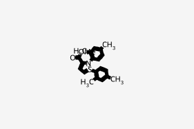 COC(=O)C1=CC=S(c2ccc(C)cc2C)N1c1ccc(C)cc1C